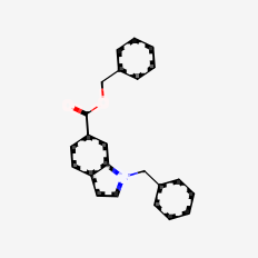 O=C(OCc1ccccc1)c1ccc2ccn(Cc3ccccc3)c2c1